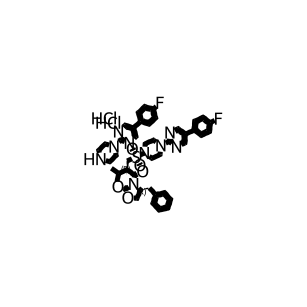 CC(C)[C@@H](CS(=O)(=O)N1CCN(c2ncc(-c3ccc(F)cc3)cn2)CC1)C(=O)N1C(=O)OC[C@H]1Cc1ccccc1.Cl.Cl.Fc1ccc(-c2cnc(N3CCNCC3)nc2)cc1